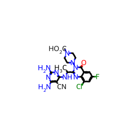 CC(Nc1nc(N)nc(N)c1C#N)c1nc2c(Cl)cc(F)cc2c(=O)n1N1CCN(C(=O)O)CC1